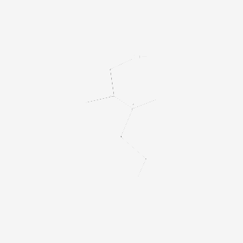 CC(CO)C(C)CCI